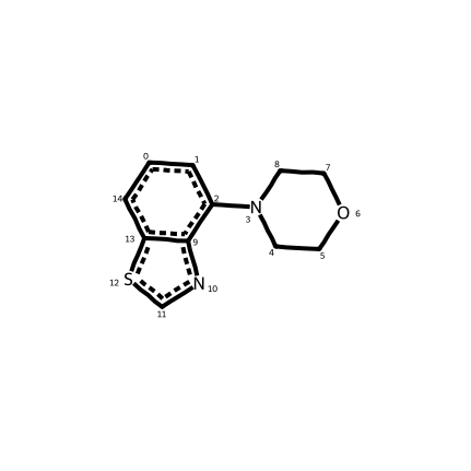 c1cc(N2CCOCC2)c2ncsc2c1